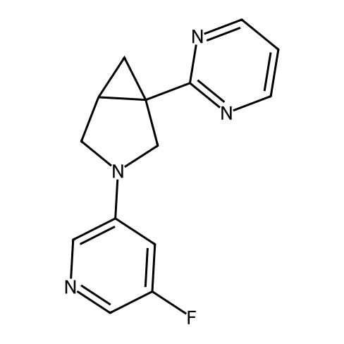 Fc1cncc(N2CC3CC3(c3ncccn3)C2)c1